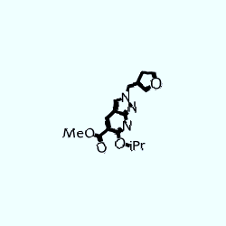 COC(=O)c1cc2cn(CC3CCOC3)nc2nc1OC(C)C